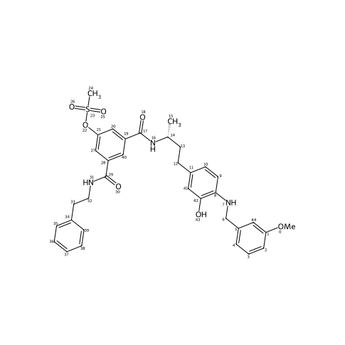 COc1cccc(CNc2ccc(CC[C@@H](C)NC(=O)c3cc(OS(C)(=O)=O)cc(C(=O)NCCc4ccccc4)c3)cc2O)c1